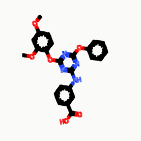 COc1ccc(Oc2nc(Nc3cccc(C(=O)O)c3)nc(Oc3ccccc3)n2)c(OC)c1